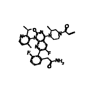 C=CC(=O)N1CCN(c2nc(=O)n(-c3c(C)ccnc3C(C)C)c3nc(-c4c(F)cccc4CC(N)=O)c(F)cc23)[C@@H](C)C1